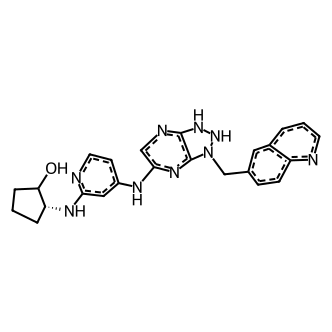 OC1CCC[C@H]1Nc1cc(Nc2cnc3c(n2)N(Cc2ccc4ncccc4c2)NN3)ccn1